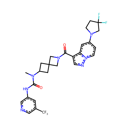 CN(C(=O)Nc1cncc(C(F)(F)F)c1)C1CC2(C1)CN(C(=O)c1cnn3ccc(N4CCC(F)(F)C4)cc13)C2